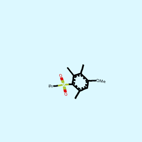 COc1cc(C)c(S(=O)(=O)C(C)C)c(C)c1C